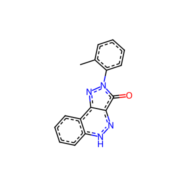 Cc1ccccc1-n1nc2c3ccccc3[nH]nc-2c1=O